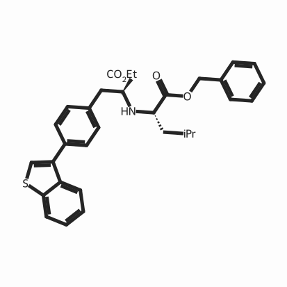 CCOC(=O)[C@H](Cc1ccc(-c2csc3ccccc23)cc1)N[C@@H](CC(C)C)C(=O)OCc1ccccc1